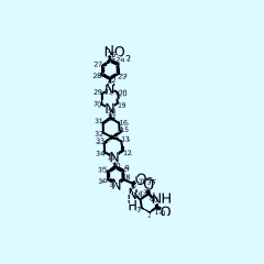 O=C1CCC(NC(=O)c2cc(N3CCC4(CCC(N5CCN(c6ccc([N+](=O)[O-])cc6)CC5)CC4)CC3)ccn2)C(=O)N1